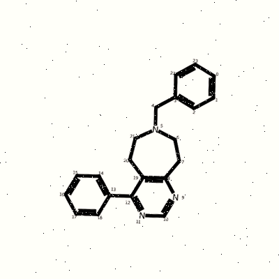 c1ccc(CN2CCc3ncnc(-c4ccccc4)c3CC2)cc1